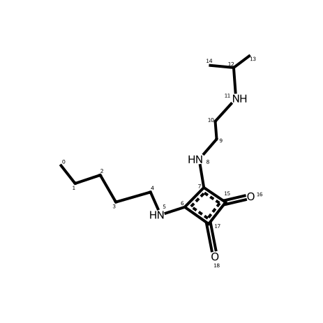 CCCCCNc1c(NCCNC(C)C)c(=O)c1=O